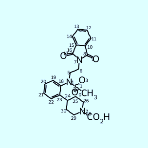 CS(=O)(=O)N(CCN1C(=O)c2ccccc2C1=O)c1ccccc1C1CCN(C(=O)O)CC1